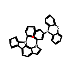 c1ccc(-n2c3ccccc3c3ccc4ccn(-c5cccc(N6c7ccccc7Sc7ccccc76)c5)c4c32)cc1